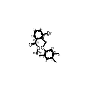 Cc1cc(C)c(OCc2c(Br)cccc2C(=O)OC(C)C)cc1C